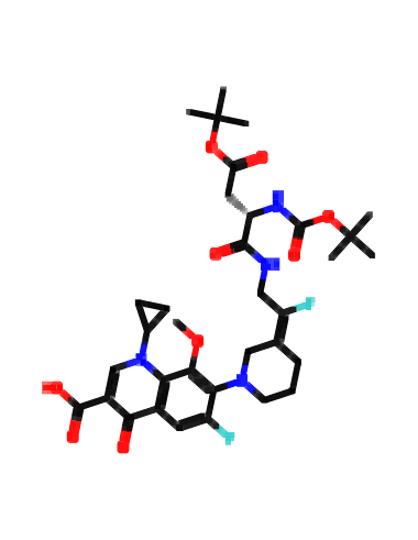 COc1c(N2CCC/C(=C(\F)CNC(=O)[C@H](CC(=O)OC(C)(C)C)NC(=O)OC(C)(C)C)C2)c(F)cc2c(=O)c(C(=O)O)cn(C3CC3)c12